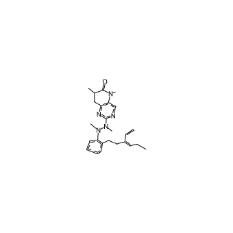 C=C/C(=C\CC)CCc1ccccc1N(C)N(C)c1ncc2c(n1)CC(C)C(=O)N2C